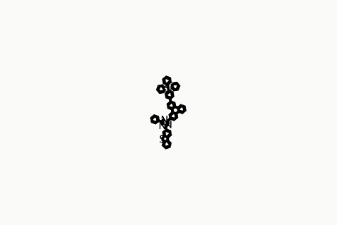 c1ccc(-c2nc(-c3ccc4c(c3)sc3ccccc34)nc(-c3ccc4c5ccccc5c5cc(-c6ccc([Si](c7ccccc7)(c7ccccc7)c7ccccc7)cc6)ccc5c4c3)n2)cc1